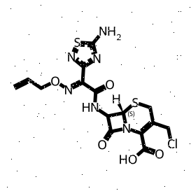 C=CCON=C(C(=O)NC1C(=O)N2C(C(=O)O)=C(CCl)CS[C@@H]12)c1nsc(N)n1